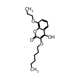 CCCCCCOc1c(O)c2cccc(OCCC)c2oc1=O